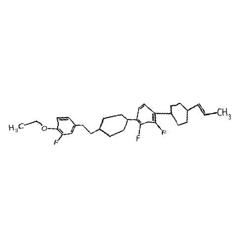 C/C=C/C1CCC(c2ccc(C3CCC(CCc4ccc(OCC)c(F)c4)CC3)c(F)c2F)CC1